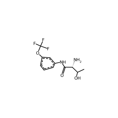 CC(O)[C@@H](N)C(=O)Nc1cccc(OC(F)(F)F)c1